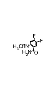 CCNc1cc(F)c(F)cc1C(N)=O